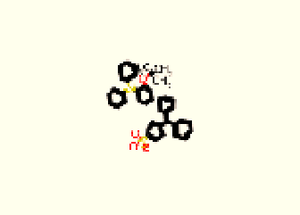 CC(C)(C)Oc1ccccc1[S+](c1ccccc1)c1ccccc1.O=S(=O)([O-])c1ccc(C(c2ccccc2)c2ccccc2)cc1